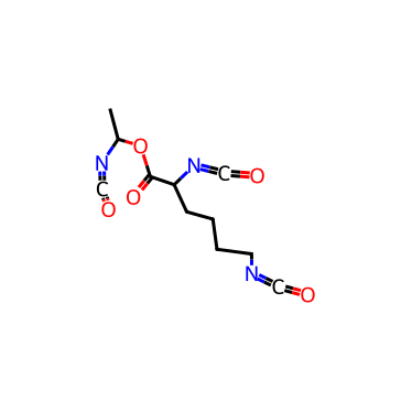 CC(N=C=O)OC(=O)C(CCCCN=C=O)N=C=O